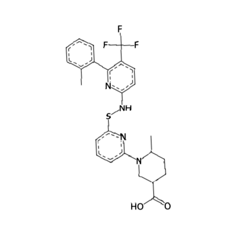 Cc1ccccc1-c1nc(NSc2cccc(N3CC(C(=O)O)CCC3C)n2)ccc1C(F)(F)F